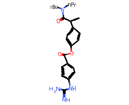 CCCCN(CCC)C(=O)C(C)c1ccc(OC(=O)c2ccc(NC(=N)N)cc2)cc1